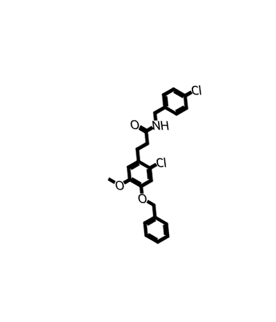 COc1cc(CCC(=O)NCc2ccc(Cl)cc2)c(Cl)cc1OCc1ccccc1